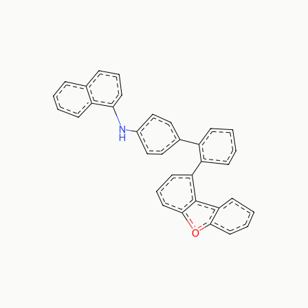 c1ccc(-c2cccc3oc4ccccc4c23)c(-c2ccc(Nc3cccc4ccccc34)cc2)c1